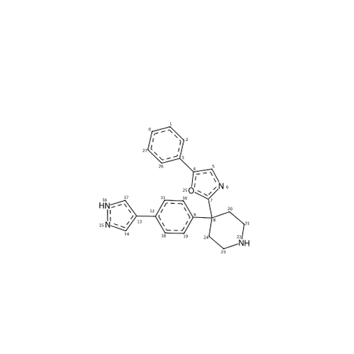 c1ccc(-c2cnc(C3(c4ccc(-c5cn[nH]c5)cc4)CCNCC3)o2)cc1